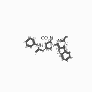 C=C(C[C@H]1C[C@@H](C(=O)O)N(c2nc(C)nc3c2oc2ccccc23)C1)Nc1ccccc1